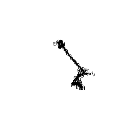 CCC(=O)N1Cc2ccccc2-c2c(nnn2CCOCCOCCOCCOCCOCCOCCOCCOCCOCCC(=O)N[C@H](C(=O)N[C@@H](CCCCN)C(=O)Nc2ccc(COC(=O)N[C@H]3CCc4c(C)c(F)cc5nc6c(c3c45)Cn3c-6cc4c(c3=O)COC(=O)[C@]4(O)CC)cc2)C(C)C)-c2ccccc21